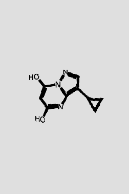 Oc1cc(O)n2ncc(C3CC3)c2n1